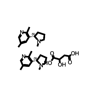 Cc1cnc(C)c([C@@H]2CCCN2C)c1.Cc1cnc(C)c([C@@H]2CCCN2C)c1.O=C(O)CC(O)C(=O)O